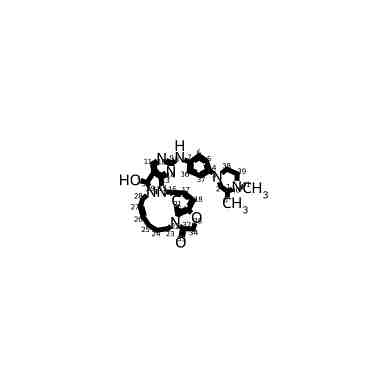 CC1CN(c2ccc(Nc3ncc4c(n3)N3c5ccc6c(c5)N(CCC/C=C\CN3C4O)C(=O)CO6)cc2)CCN1C